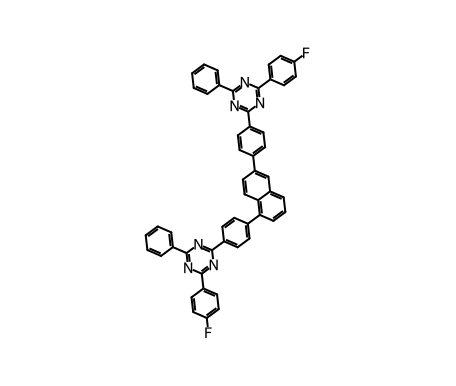 Fc1ccc(-c2nc(-c3ccccc3)nc(-c3ccc(-c4ccc5c(-c6ccc(-c7nc(-c8ccccc8)nc(-c8ccc(F)cc8)n7)cc6)cccc5c4)cc3)n2)cc1